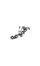 N#Cc1ccc(N2CCC(C(=O)NCCC3CCN(Cc4ccccc4)CC3)CC2)cc1OC(F)(F)F